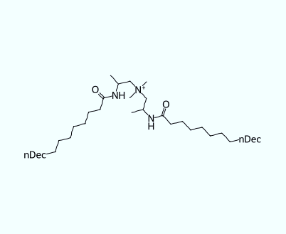 CCCCCCCCCCCCCCCCCC(=O)NC(C)C[N+](C)(C)CC(C)NC(=O)CCCCCCCCCCCCCCCCC